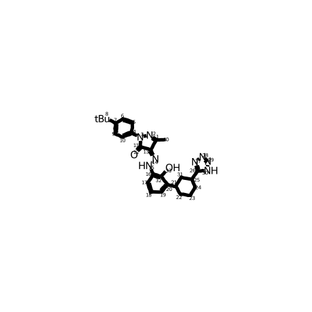 CC1=NN(c2ccc(C(C)(C)C)cc2)C(=O)C1=NNc1cccc(C2CCCC(c3nnn[nH]3)C2)c1O